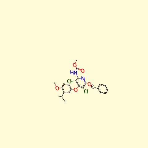 COC(=O)Nc1nc(OCc2ccccc2)c(Cl)c(Oc2ccc(OC)c(C(C)C)c2)c1Cl